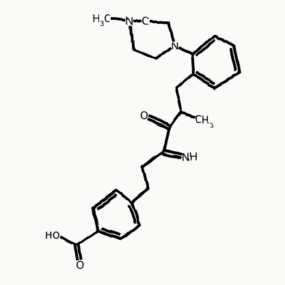 CC(Cc1ccccc1N1CCN(C)CC1)C(=O)C(=N)CCc1ccc(C(=O)O)cc1